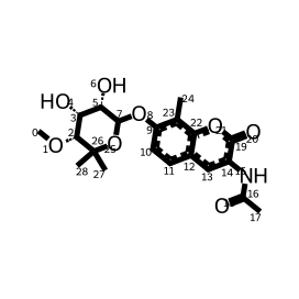 CO[C@@H]1[C@H](O)[C@H](O)C(Oc2ccc3cc(NC(C)=O)c(=O)oc3c2C)OC1(C)C